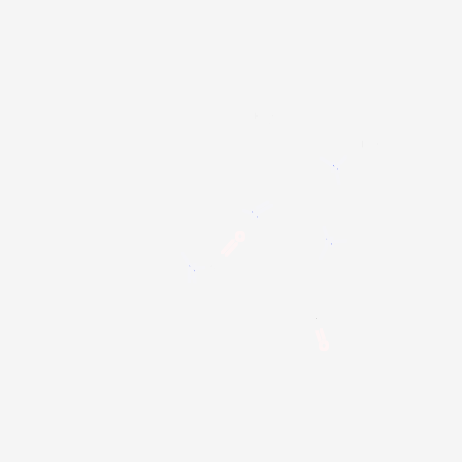 O=CN(C1CCN(C2=CC(CC(=O)NCc3ccccc3)=CC(=O)C2)C1)C(CC(=O)O)c1cccnc1